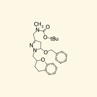 CN(CC1=NN(CC2CCc3ccccc3O2)C(OCc2ccccc2)C1)C(=O)OC(C)(C)C